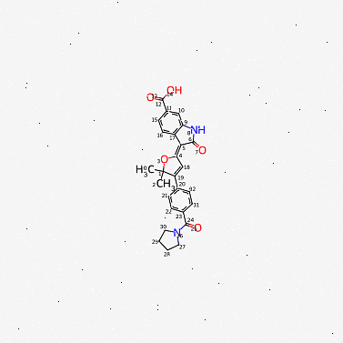 CC1(C)O/C(=C2/C(=O)Nc3cc(C(=O)O)ccc32)C=C1c1ccc(C(=O)N2CCCC2)cc1